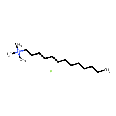 CCCCCCCCCCCCC[N+](C)(C)C.[F-]